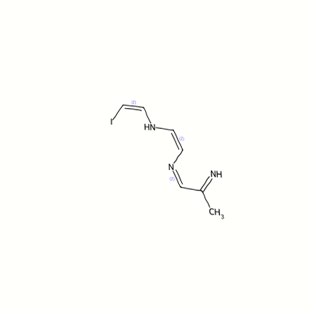 CC(=N)/C=N\C=C/N/C=C\I